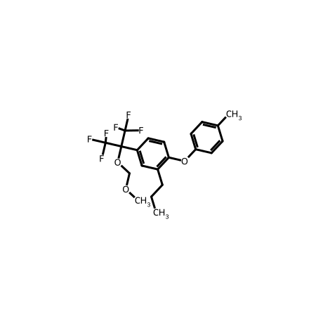 CCCc1cc(C(OCOC)(C(F)(F)F)C(F)(F)F)ccc1Oc1ccc(C)cc1